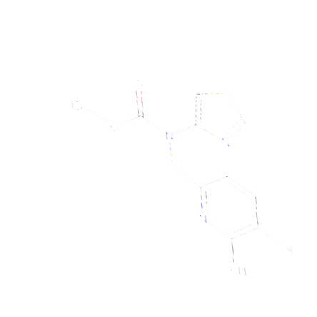 Cc1nc(SN(C(=O)OC(C)(C)C)c2cscn2)ccc1Br